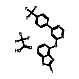 FC(F)(F)c1ccc(-c2cc(Oc3cccc4sc(I)nc34)ncn2)cc1.O=C(O)C(F)(F)F